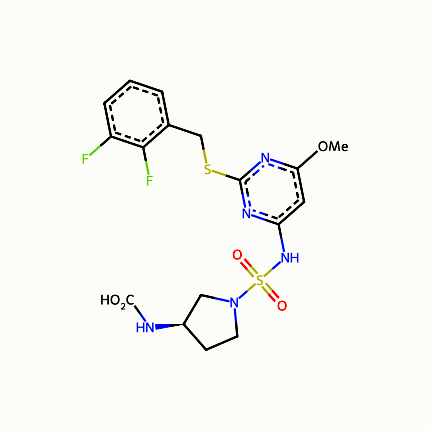 COc1cc(NS(=O)(=O)N2CC[C@@H](NC(=O)O)C2)nc(SCc2cccc(F)c2F)n1